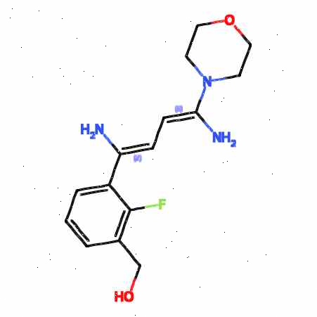 N/C(=C\C=C(/N)N1CCOCC1)c1cccc(CO)c1F